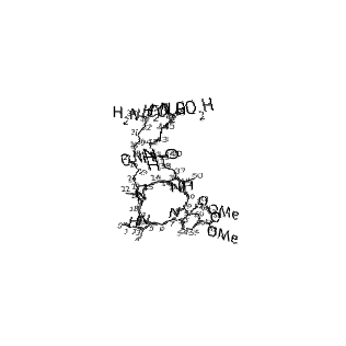 C=Cc1c(C)c2cc3nc(cc4[nH]c(cc5nc(cc1[nH]2)C(C)=C5CCC(=O)NCCCC[C@H](N)C(=O)O)c(CCC(=O)NCCCC[C@H](N)C(=O)O)c4C)[C@@]1(C)C3=CC=C(C(=O)OC)[C@H]1C(=O)OC